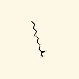 CCCCOCCOCC(=O)O